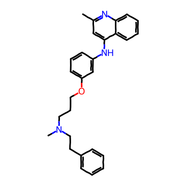 Cc1cc(Nc2cccc(OCCCN(C)CCc3ccccc3)c2)c2ccccc2n1